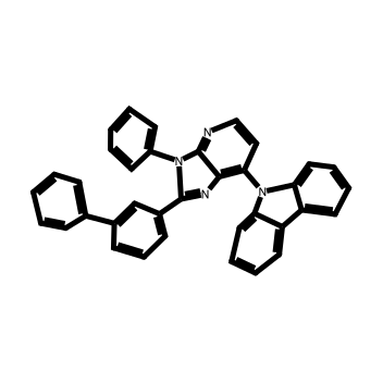 c1ccc(-c2cccc(-c3nc4c(-n5c6ccccc6c6ccccc65)ccnc4n3-c3ccccc3)c2)cc1